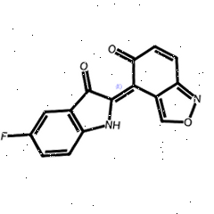 O=C1C=Cc2nocc2/C1=C1\Nc2ccc(F)cc2C1=O